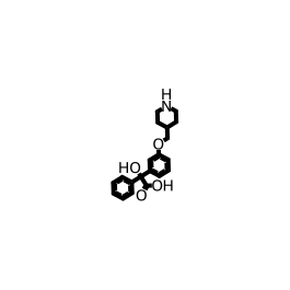 O=C(O)C(O)(c1ccccc1)c1cccc(OCC2CCNCC2)c1